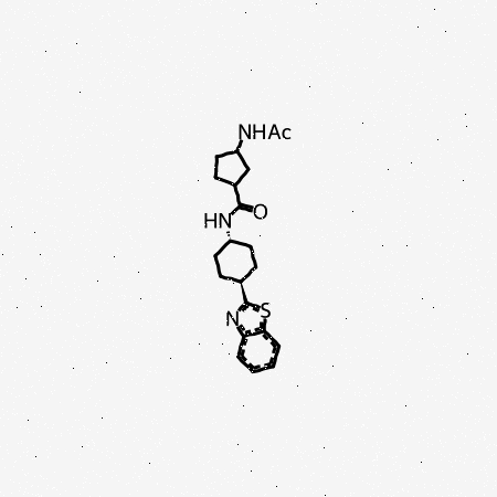 CC(=O)NC1CCC(C(=O)N[C@H]2CC[C@H](c3nc4ccccc4s3)CC2)C1